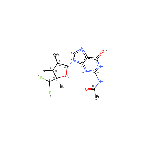 CC[C@@]1(C(F)F)O[C@@H](n2cnc3c(=O)[nH]c(NC(=O)C(C)C)nc32)[C@H](OC(C)=O)[C@@H]1C